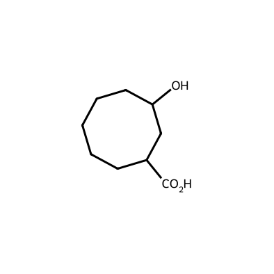 O=C(O)C1CCCCCC(O)C1